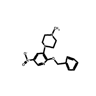 CN1CCN(c2cc([N+](=O)[O-])cnc2OCc2ccccc2)CC1